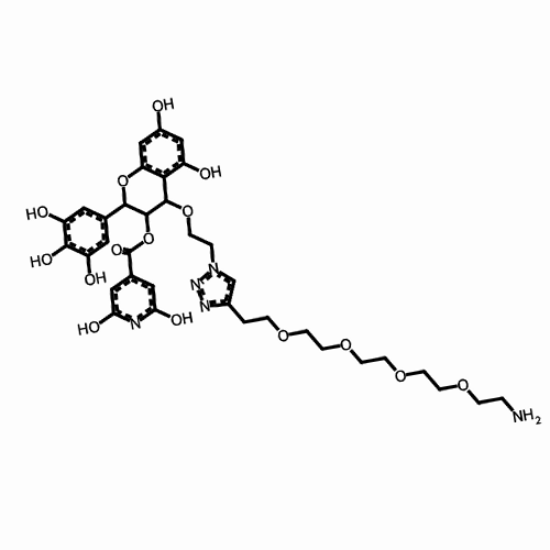 NCCOCCOCCOCCOCCc1cn(CCOC2c3c(O)cc(O)cc3OC(c3cc(O)c(O)c(O)c3)C2OC(=O)c2cc(O)nc(O)c2)nn1